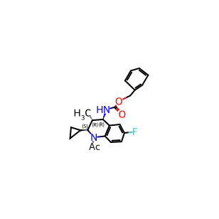 CC(=O)N1c2ccc(F)cc2[C@H](NC(=O)OCc2ccccc2)[C@@H](C)[C@@H]1C1CC1